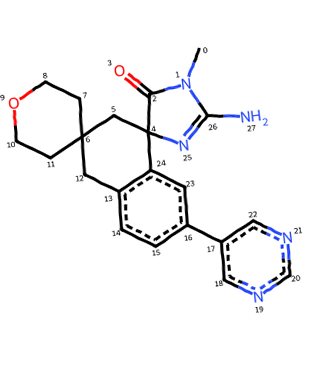 CN1C(=O)C2(CC3(CCOCC3)Cc3ccc(-c4cncnc4)cc32)N=C1N